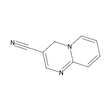 N#CC1=CN=C2C=CC=CN2C1